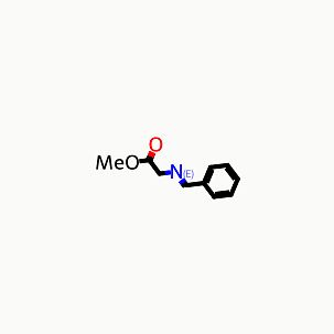 COC(=O)C/N=C/c1ccccc1